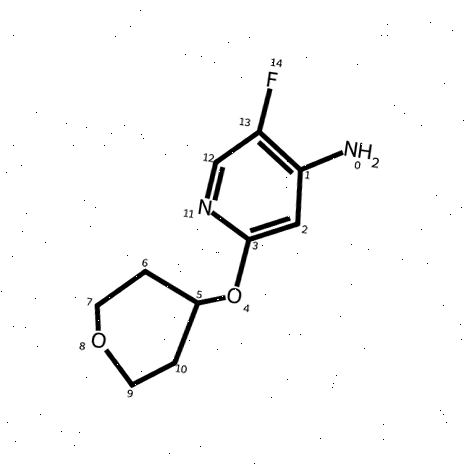 Nc1cc(OC2CCOCC2)ncc1F